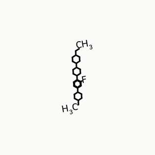 CCCC1CCC(C2CCC(c3ccc(C4CCC(CC)CC4)cc3F)CC2)CC1